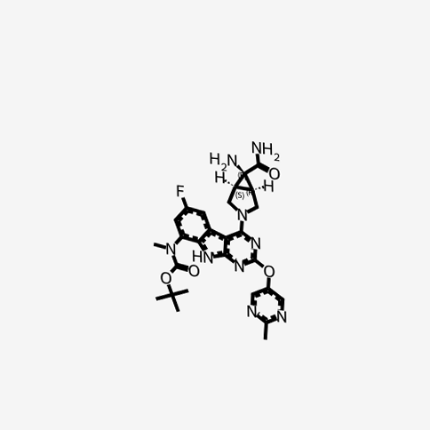 Cc1ncc(Oc2nc(N3C[C@@H]4[C@H](C3)[C@@]4(N)C(N)=O)c3c(n2)[nH]c2c(N(C)C(=O)OC(C)(C)C)cc(F)cc23)cn1